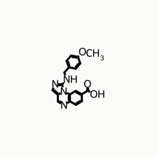 COc1ccc(CNc2ncc3cnc4ccc(C(=O)O)cc4n23)cc1